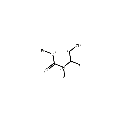 CCOC(=O)N(C)C(C)CCl